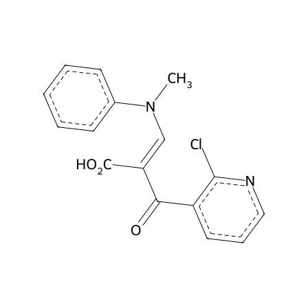 CN(C=C(C(=O)O)C(=O)c1cccnc1Cl)c1ccccc1